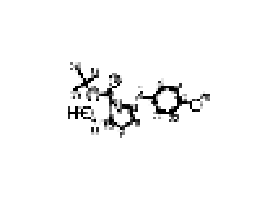 COc1ccc(C[C@@H]2CC[C@H](CO)N2C(=O)OC(C)(C)C)cc1